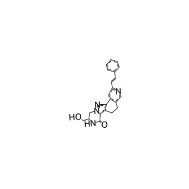 O=C1NC(CO)Cn2nc3c(c21)CCc1cnc(C=Cc2ccccc2)cc1-3